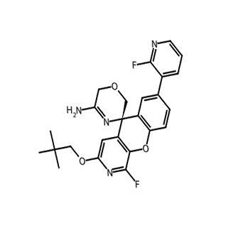 CC(C)(C)COc1cc2c(c(F)n1)Oc1ccc(-c3cccnc3F)cc1[C@]21COCC(N)=N1